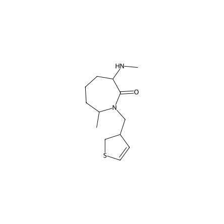 CNC1CCCC(C)N(CC2C=CSC2)C1=O